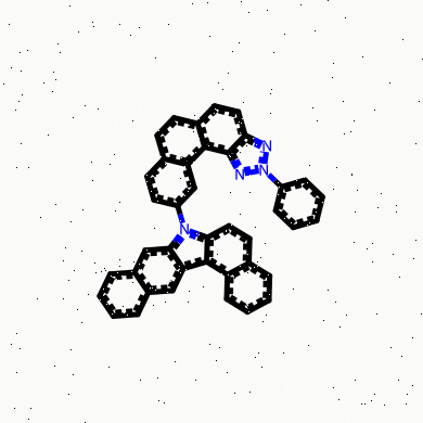 c1ccc(-n2nc3ccc4ccc5ccc(-n6c7cc8ccccc8cc7c7c8ccccc8ccc76)cc5c4c3n2)cc1